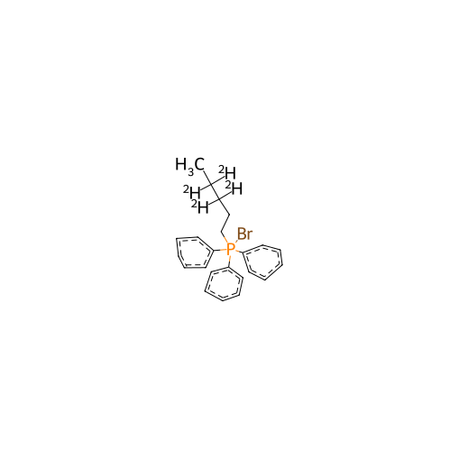 [2H]C([2H])(C)C([2H])([2H])CCP(Br)(c1ccccc1)(c1ccccc1)c1ccccc1